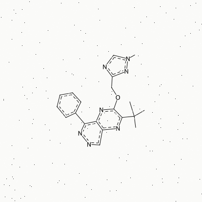 Cn1cnc(COc2nc3c(-c4ccccc4)nncc3nc2C(C)(C)C)n1